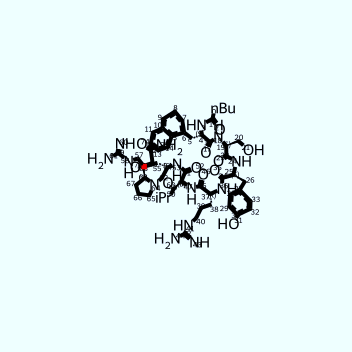 CCCCC(=O)N[C@@H](Cc1cccc2ccccc12)C(=O)N[C@@H](CO)C(=O)N[C@@H](Cc1ccc(O)cc1)C(=O)N[C@H](CCCNC(=N)N)C(=O)N[C@@H](CC(C)C)C(=O)N[C@@H](CCCNC(=N)N)C(=O)N1CCC[C@H]1C(=O)CC(N)=O